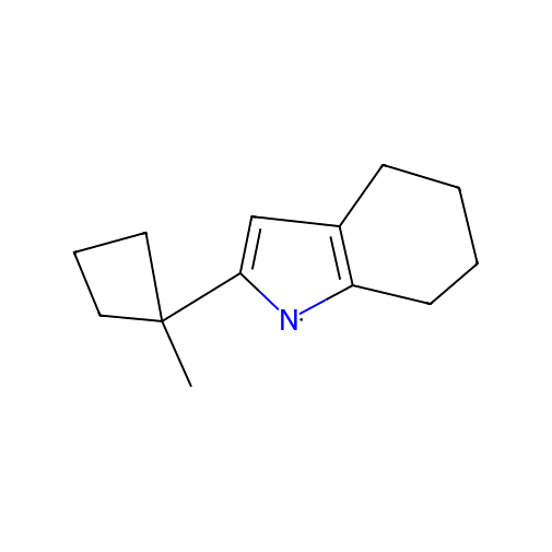 CC1(C2=CC3=C(CCCC3)[N]2)CCC1